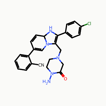 N#Cc1ccccc1C1=CN2C(CN3CCN(N)C(=O)C3)=C(c3ccc(Cl)cc3)NC2C=C1